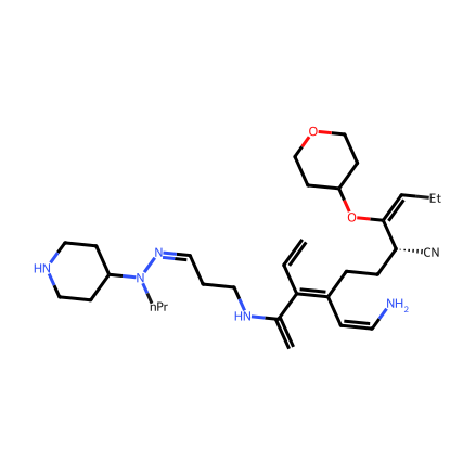 C=C/C(C(=C)NCC/C=N\N(CCC)C1CCNCC1)=C(/C=C\N)CC[C@@H](C#N)/C(=C\CC)OC1CCOCC1